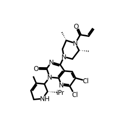 C=CC(=O)N1[C@H](C)CN(c2nc(=O)n(C3C(C)=CCN[C@H]3C(C)C)c3nc(Cl)c(Cl)cc23)C[C@@H]1C